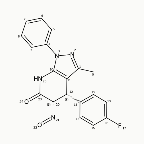 Cc1nn(-c2ccccc2)c2c1[C@H](c1ccc(F)cc1)[C@H](N=O)C(=O)N2